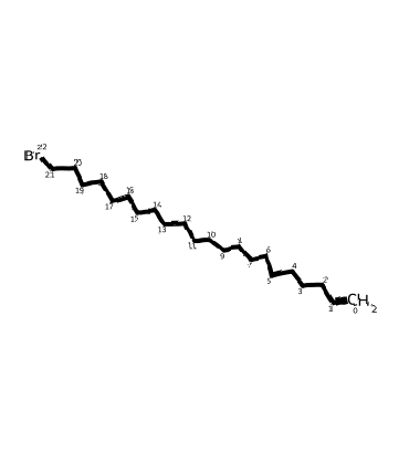 C=CCCCCCCCCCCCCCCCCCCCCBr